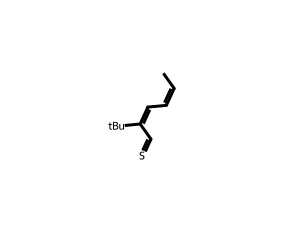 C/C=C\C=C(/C=S)C(C)(C)C